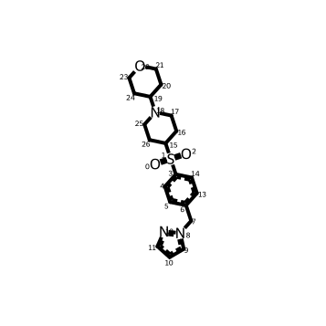 O=S(=O)(c1ccc(Cn2cccn2)cc1)C1CCN(C2CCOCC2)CC1